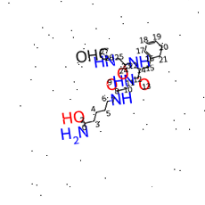 NC(O)CCCCNC(=O)CNC(=O)[C@H](CC1=CC=CCC1)NC(=O)CNC=O